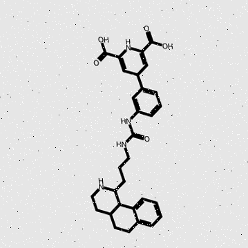 O=C(NCCCC1NCCC2CCc3ccccc3C21)Nc1cccc(C2C=C(C(=O)O)NC(C(=O)O)=C2)c1